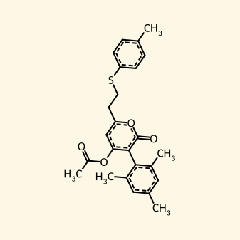 CC(=O)Oc1cc(CCSc2ccc(C)cc2)oc(=O)c1-c1c(C)cc(C)cc1C